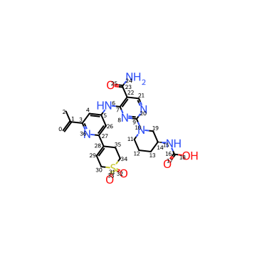 C=C(C)c1cc(Nc2nc(N3CCC[C@H](NC(=O)O)C3)ncc2C(N)=O)cc(C2=CCS(=O)(=O)CC2)n1